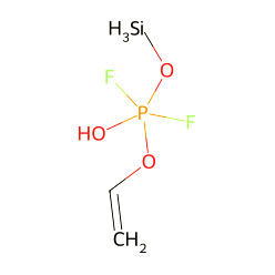 C=COP(O)(F)(F)O[SiH3]